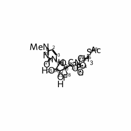 CNc1ccn([C@@H]2O[C@](CF)(COP(=O)(OCCSC(C)=O)N(C)C)C(O)[C@@H]2O)c(=O)n1